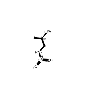 CC(C)[C@H](C)CN[SH](=O)=O